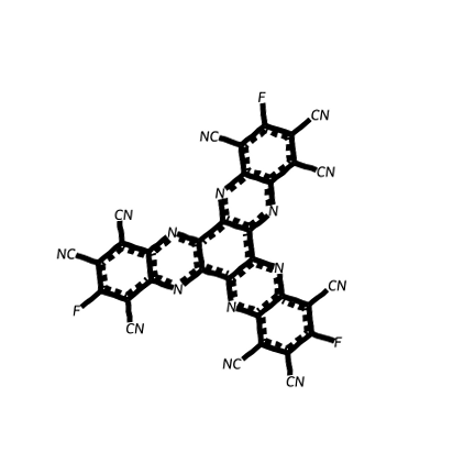 N#Cc1c(F)c(C#N)c2nc3c4nc5c(C#N)c(C#N)c(F)c(C#N)c5nc4c4nc5c(C#N)c(C#N)c(F)c(C#N)c5nc4c3nc2c1C#N